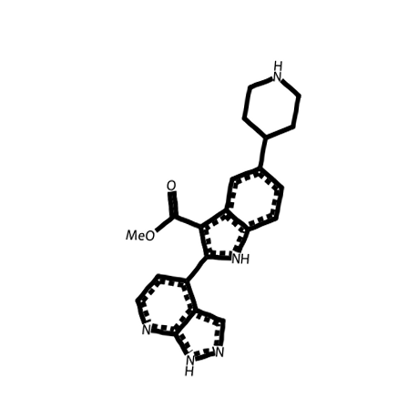 COC(=O)c1c(-c2ccnc3[nH]ncc23)[nH]c2ccc(C3CCNCC3)cc12